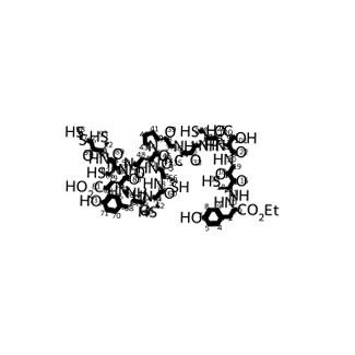 CCOC(=O)C(Cc1ccc(O)cc1)NN[C@@H](CS)C(=O)C(=O)CNC(=O)[C@@H](NC(=O)[C@H](CS)NCC(=O)[C@H](C)NCC(=O)[C@@H]1CCCN1C(=O)[C@H](CC(N)=O)NC(=O)[C@H](CS)NC(=O)[C@H](CS)NC(=O)[C@H](Cc1ccc(O)cc1)NN[C@@H](CCC(=O)O)C(=O)N[C@@H](CS)C(=O)N[C@@H](CS)C(=O)CSS)[C@@H](C)O